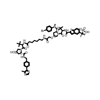 Cc1ncsc1-c1ccc(CNC(=O)[C@@H]2C[C@@H](O)CN2C(=O)C(NC(=O)CCCCCCNC(=O)CO[C@@H]2C[C@@H](C(=O)N(C)c3ccc(Br)cc3)N(C(=O)C(NC(=O)c3cc4cc(C(F)(F)P(=O)(O)O)ccc4s3)C(C)(C)C)C2)C(C)(C)C)cc1